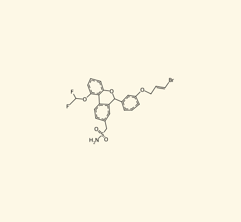 NS(=O)(=O)Cc1ccc2c(c1)C(c1cccc(OCC=CBr)c1)Oc1cccc(OC(F)F)c1-2